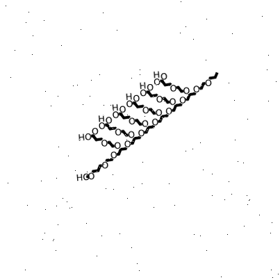 CCCOCCOCC(COCC(COCC(COCC(COCC(COCC(COCCOCCCOO)OCCOCCC(=O)O)OCCOCCC(=O)O)OCCOCCC(=O)O)OCCOCCC(=O)O)OCCOCCC(=O)O)OCCOCCC(=O)O